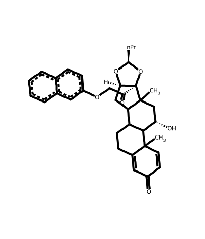 CCC[C@@H]1O[C@@H]2CC3C4CCC5=CC(=O)C=CC5(C)C4[C@@H](O)CC3(C)[C@]2(C(=O)COc2ccc3ccccc3c2)O1